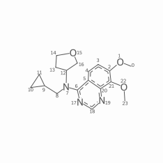 COc1ccc2c(N(CC3CC3)C3CCOC3)ncnc2c1OC